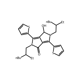 CCCCC(CC)CN1C(=O)C2=C(c3cccs3)N(CC(CC)CCCC)C(O)C2=C1c1cccs1